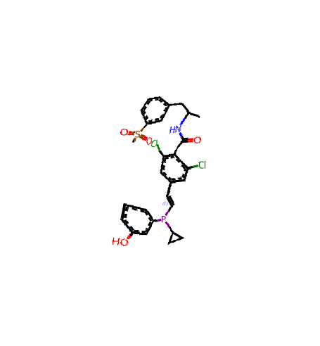 CC(Cc1cccc(S(C)(=O)=O)c1)NC(=O)c1c(Cl)cc(/C=C/P(c2cccc(O)c2)C2CC2)cc1Cl